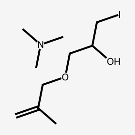 C=C(C)COCC(O)CI.CN(C)C